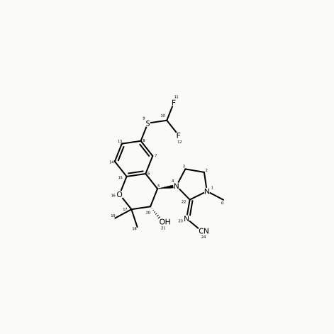 CN1CCN([C@@H]2c3cc(SC(F)F)ccc3OC(C)(C)[C@H]2O)C1=NC#N